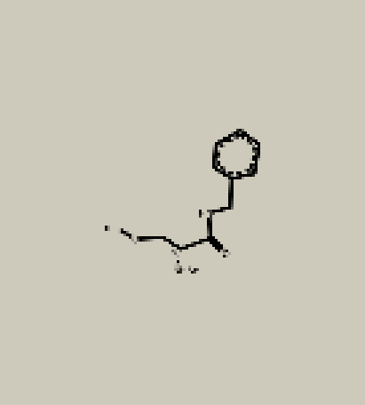 CC(=O)N[C@H](COC(C)(C)C)C(=O)NCc1ccccc1